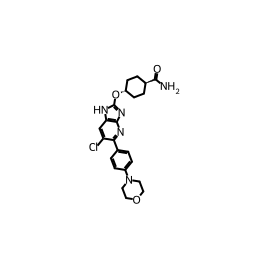 NC(=O)[C@H]1CC[C@H](Oc2nc3nc(-c4ccc(N5CCOCC5)cc4)c(Cl)cc3[nH]2)CC1